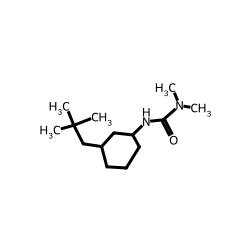 CN(C)C(=O)NC1CCCC(CC(C)(C)C)C1